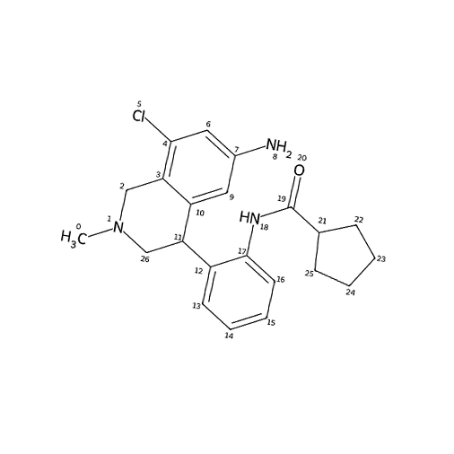 CN1Cc2c(Cl)cc(N)cc2C(c2ccccc2NC(=O)C2CCCC2)C1